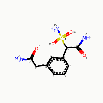 [NH]C(=O)C(c1cccc(CC(N)=O)c1)S(N)(=O)=O